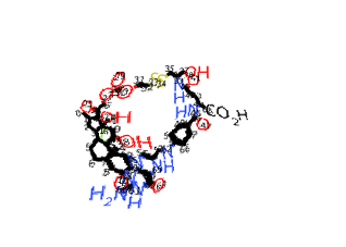 CC1CC2C3CCC4=CC(=O)C=CC4(C)C3(F)C(O)CC2(C)C1(O)C(=O)COC(=O)OCCSSCC(CO)NC(=O)CCC(NC(=O)c1ccc(NCc2cnc3nc(N)[nH]c(=O)c3n2)cc1)C(=O)O